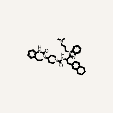 CN(C)CCCn1c(C(Cc2ccc3c(c2)CCCC3)NC(=O)N2CCC(N3CCc4ccccc4NC3=O)CC2)nc2ccccc21